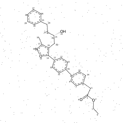 CCOC(=O)Cc1ccc(-c2ccc(-c3onc(C)c3C[C@@H](O)SCc3ccccc3)cc2)cc1